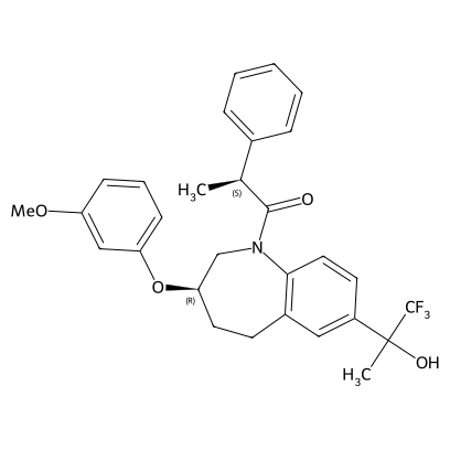 COc1cccc(O[C@@H]2CCc3cc(C(C)(O)C(F)(F)F)ccc3N(C(=O)[C@@H](C)c3ccccc3)C2)c1